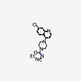 CCO/C(=N\C#N)N1CCN(c2ccnc3cc(Cl)ccc23)CC1